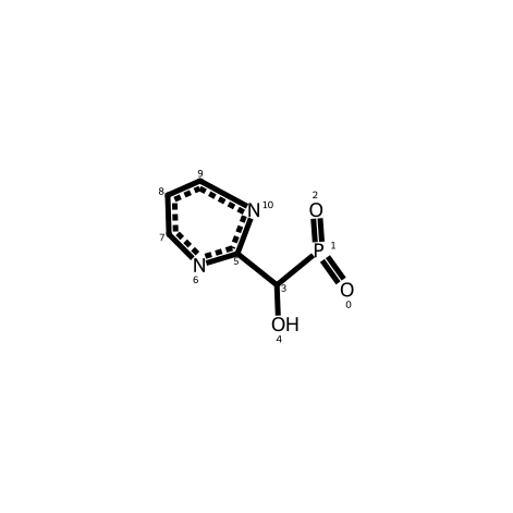 O=P(=O)C(O)c1ncccn1